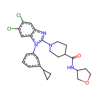 O=C(NC1CCOC1)C1CCN(c2nc3cc(Cl)c(Cl)cc3n2-c2cccc(C3CC3)c2)CC1